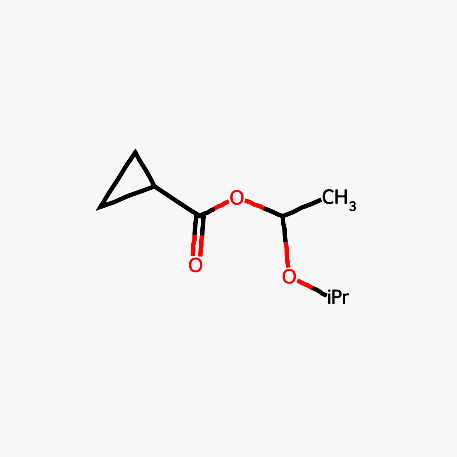 CC(C)OC(C)OC(=O)C1CC1